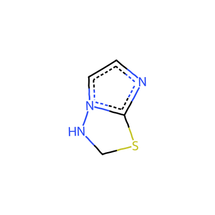 c1cn2c(n1)SCN2